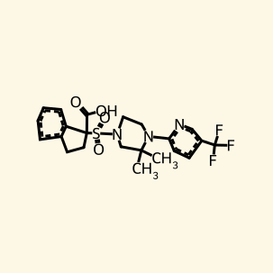 CC1(C)CN(S(=O)(=O)C2(C(=O)O)CCc3ccccc32)CCN1c1ccc(C(F)(F)F)cn1